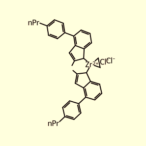 CCCc1ccc(-c2cccc3c2C=C(C)[CH]3[Zr+2]2([CH]3C(C)=Cc4c(-c5ccc(CCC)cc5)cccc43)[CH2][CH2]2)cc1.[Cl-].[Cl-]